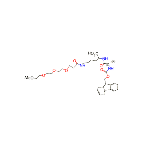 COCCOCCOCCOCCC(=O)NCCCCC(NC(=O)[C@@H](NC(=O)OCC1c2ccccc2-c2ccccc21)C(C)C)C(=O)O